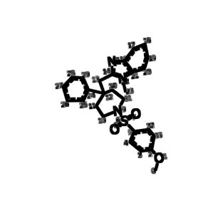 COc1ccc(S(=O)(=O)N2CCC(Cc3nc4ccccc4n3C)(c3ccccc3)CC2)cc1